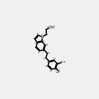 OCCn1ccc2ccc(CCc3ccc(F)c(F)c3)cc21